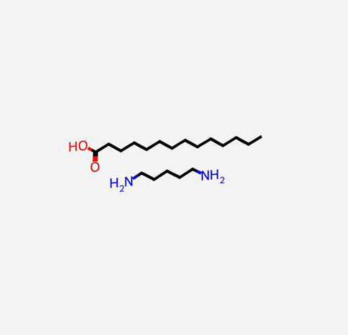 CCCCCCCCCCCCCC(=O)O.NCCCCCN